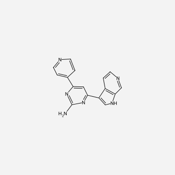 Nc1nc(-c2ccncc2)cc(-c2c[nH]c3cnccc23)n1